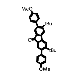 COc1ccc(-c2cc3c(cc2C(C)(C)C)-c2cc(C(C)(C)C)c(-c4ccc(OC)cc4)cc2C3=O)cc1